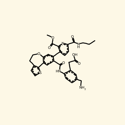 CCCNC(=O)c1ccc(-c2cc3c(cc2C(=O)Nc2ccc(CN)cc2CC(=O)O)-c2sccc2CCO3)c(C(=O)OC)n1